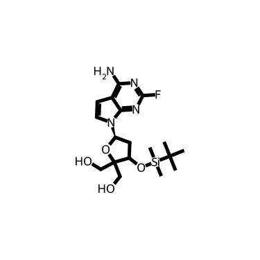 CC(C)(C)[Si](C)(C)OC1C[C@H](n2ccc3c(N)nc(F)nc32)OC1(CO)CO